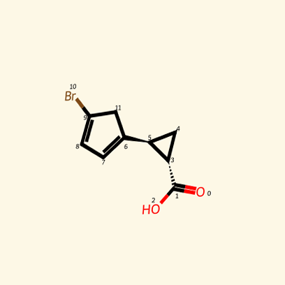 O=C(O)[C@H]1C[C@@H]1C1=CC=C(Br)C1